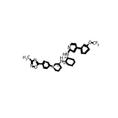 Cc1noc(-c2ccc(N3CCC[C@H](N[C@@H]4CCCC[C@H]4Nc4cc(-c5cccc(OC(F)(F)F)c5)ccn4)C3)cc2)n1